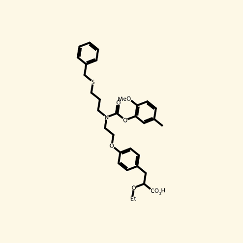 CCOC(Cc1ccc(OCCN(CCCSCc2ccccc2)C(=O)Oc2cc(C)ccc2OC)cc1)C(=O)O